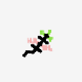 BC(B)(C(C)(C)CCC)C(C)(C)C(F)(F)F